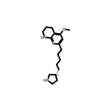 COc1cc(CCCCC[C@@H]2CCNC2)nc2c1CCCN2